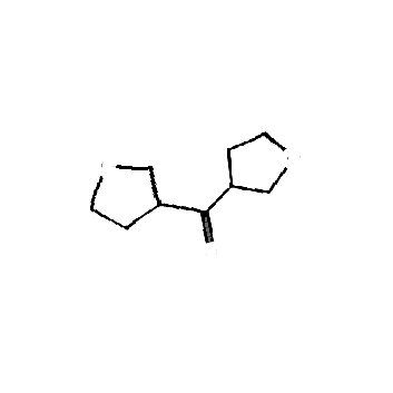 O=C(C1CCOC1)C1CCOC1